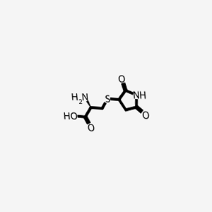 N[C@@H](CSC1CC(=O)NC1=O)C(=O)O